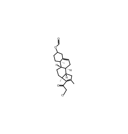 CC1=C(C(=O)CCl)[C@@]2(C)CC[C@H]3[C@@H](CC=C4CC(OC=O)CC[C@@]43C)[C@@H]2C1